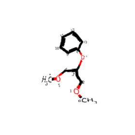 COCC(COC)Oc1ccccc1